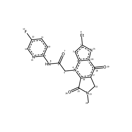 CCc1cc2n(CC(=O)Nc3ccc(F)cn3)c3c(c(=O)n2n1)CN(C)C3=O